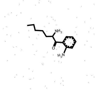 CCCCCC(N)C(=O)c1ccccc1N